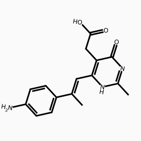 C/C(=C\c1[nH]c(C)nc(=O)c1CC(=O)O)c1ccc(N)cc1